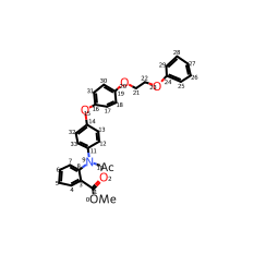 COC(=O)c1ccccc1N(C(C)=O)c1ccc(Oc2ccc(OCCOc3ccccc3)cc2)cc1